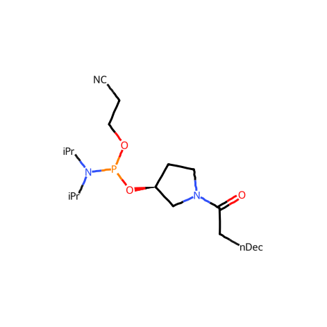 CCCCCCCCCCCC(=O)N1CC[C@H](OP(OCCC#N)N(C(C)C)C(C)C)C1